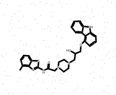 Cc1cccc2sc(NC(=O)CN3CCN(CC(O)COc4cccc5[nH]c6ccccc6c45)CC3)nc12